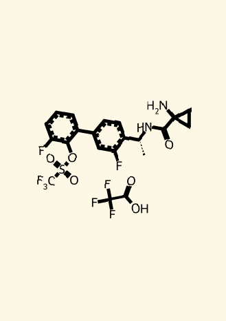 C[C@@H](NC(=O)C1(N)CC1)c1ccc(-c2cccc(F)c2OS(=O)(=O)C(F)(F)F)cc1F.O=C(O)C(F)(F)F